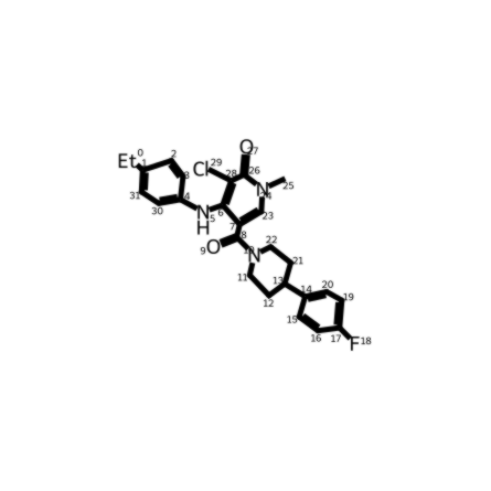 CCc1ccc(Nc2c(C(=O)N3CCC(c4ccc(F)cc4)CC3)cn(C)c(=O)c2Cl)cc1